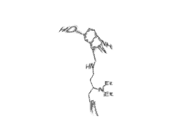 CCN(CC)C(CCNc1n[nH]c2ccc(O)cc12)CC(C)C